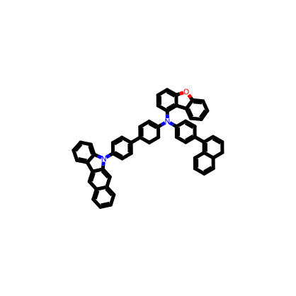 C1=CC2=C(c3ccc(N(C4=CC=C(c5ccc(-n6c7ccccc7c7cc8ccccc8cc76)cc5)CC4)c4cccc5oc6ccccc6c45)cc3)C=CCC2C=C1